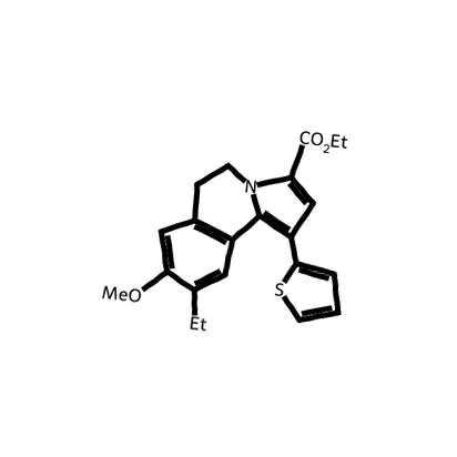 CCOC(=O)c1cc(-c2cccs2)c2n1CCc1cc(OC)c(CC)cc1-2